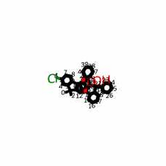 CC1(C)c2cc(Cl)ccc2-c2c1cc(-c1ccccc1C(O)(c1ccccc1)c1ccccc1)c1oc3ccccc3c21